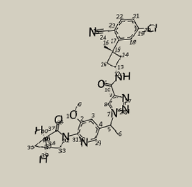 COc1cc(C(C)n2cc(C(=O)N[C@H]3C[C@@](C)(c4cc(Cl)ccc4C#N)C3)nn2)cnc1N1C[C@H]2C[C@H]2C1=O